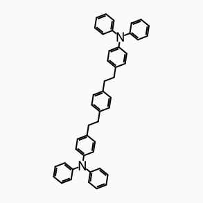 c1ccc(N(c2ccccc2)c2ccc(CCc3ccc(CCc4ccc(N(c5ccccc5)c5ccccc5)cc4)cc3)cc2)cc1